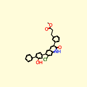 COC(=O)CCc1cccc(-c2cc3cc(-c4ccc(-c5ccccc5)c(O)c4)c(Cl)cc3[nH]c2=O)c1